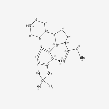 [2H]C([2H])([2H])Oc1cccc([C@@H]2C(C3CCNCC3)CCN2C(=O)OC(C)(C)C)c1C